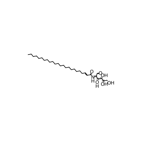 CCCCCCCCCCCCCCCCCCCCCC=CC(=O)N[C@@H](C=O)[C@@H](O)[C@H](O)[C@H](O)CO